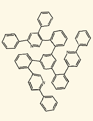 c1ccc(-c2ccc(-c3ccccc3-c3cc(-c4ccccc4-c4ccc(-c5ccccc5)nc4)cc(-c4ccccc4-c4cnc(-c5ccccc5)cc4-c4ccccc4)c3)cn2)cc1